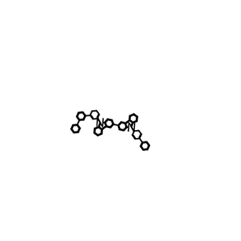 C1=CC(n2c3ccccc3c3cc(-c4ccc5c(c4)c4ccccc4n5C4=CCCC(c5cccc(-c6ccccc6)c5)=C4)ccc32)CC=C1c1ccccc1